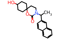 CC(c1ccc2ccccc2c1)N1CCC2(CCC(O)CC2)OC1=O